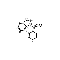 COC(C1CCCCC1)n1nnc2ccccc21